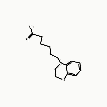 O=C(O)CCCCCN1CCOc2ccccc21